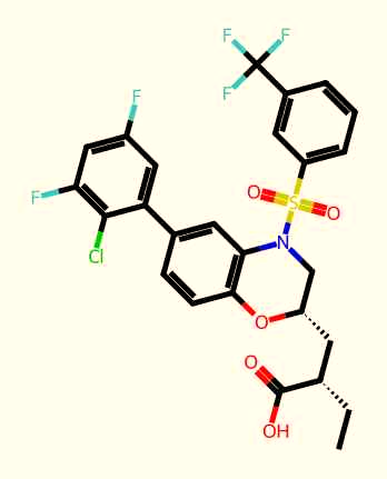 CC[C@@H](C[C@H]1CN(S(=O)(=O)c2cccc(C(F)(F)F)c2)c2cc(-c3cc(F)cc(F)c3Cl)ccc2O1)C(=O)O